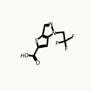 O=C(O)c1cc2c(cnn2CC(F)(F)F)s1